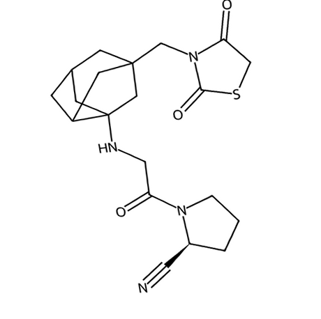 N#C[C@@H]1CCCN1C(=O)CNC12CC3CC1CC(CN1C(=O)CSC1=O)(C3)C2